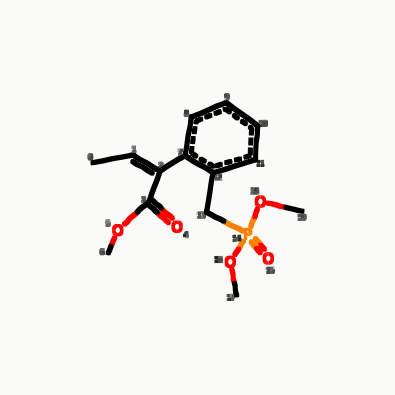 CC=C(C(=O)OC)c1ccccc1CP(=O)(OC)OC